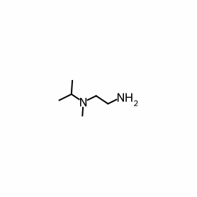 CC(C)N(C)CCN